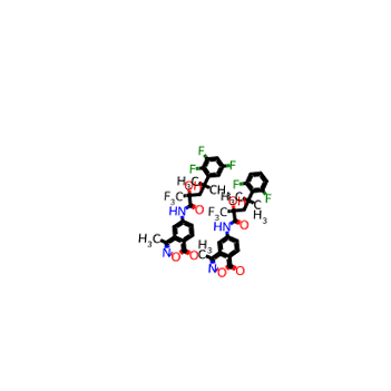 Cc1noc(=O)c2ccc(NC(=O)C(O)(CC(C)(C)c3c(F)cccc3F)C(F)(F)F)cc12.Cc1noc(=O)c2ccc(NC(=O)C(O)(CC(C)(C)c3cc(F)cc(F)c3F)C(F)(F)F)cc12